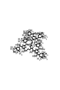 CCCCN(c1nc(N(CCCCC(CCCN(C(C)=O)c2nc(N(CCCC)C3CC(C)(C)N(C(C)=O)C(C)(C)C3)nc(N(CCCC)C3CC(C)(C)N(C(C)=O)C(C)(C)C3)n2)CN(C(C)=O)c2nc(N(CCCC)C3CC(C)(C)N(C(C)=O)C(C)(C)C3)nc(N(CCCC)C3CC(C)(C)N(C(C)=O)C(C)(C)C3)n2)C(C)=O)nc(N(CCCC)C2CC(C)(C)N(C(C)=O)C(C)(C)C2)n1)C1CC(C)(C)N(C(C)=O)C(C)(C)C1